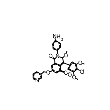 COc1cc(C2=c3c(cc(OCc4cccnc4)cc3=C=O)C(=O)N(c3ccc(N)cc3)C2OC)cc(OC)c1Cl